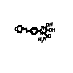 NC(=O)c1nc(-c2ccc(CCN3CCOCC3)cc2)nc(O)c1O